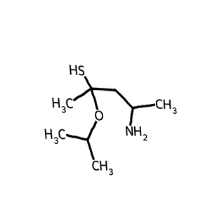 CC(N)CC(C)(S)OC(C)C